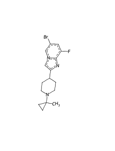 CC1(N2CCC(c3cn4cc(Br)cc(F)c4n3)CC2)CC1